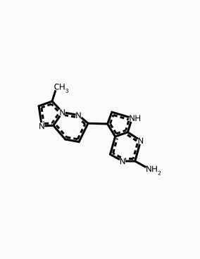 Cc1cnc2ccc(-c3c[nH]c4nc(N)ncc34)nn12